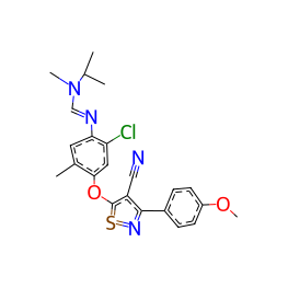 COc1ccc(-c2nsc(Oc3cc(Cl)c(N=CN(C)C(C)C)cc3C)c2C#N)cc1